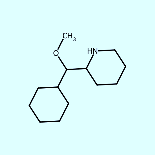 COC(C1CCCCC1)C1CCCCN1